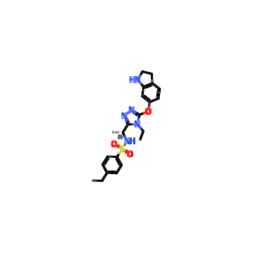 CCc1ccc(S(=O)(=O)N[C@H](C)c2nnc(Oc3ccc4c(c3)NCC4)n2CC)cc1